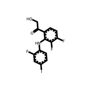 O=C(CO)c1ccc(F)c(F)c1Nc1ccc(I)cc1F